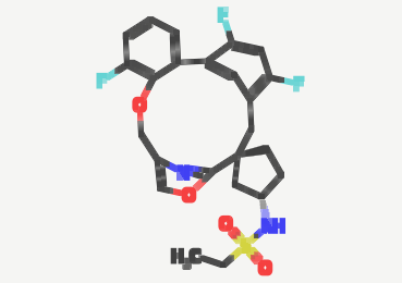 CCS(=O)(=O)N[C@H]1CC[C@@]2(Cc3cc(c(F)cc3F)-c3cccc(F)c3OCc3coc2n3)C1